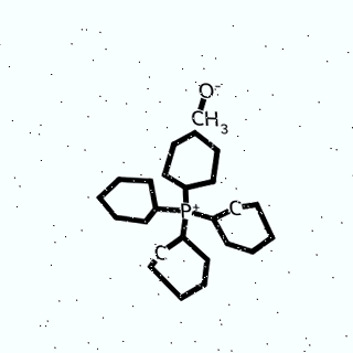 C1CCC([P+](C2CCCCC2)(C2CCCCC2)C2CCCCC2)CC1.C[O-]